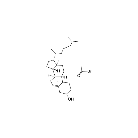 CC(=O)Br.CC(C)CCCC(C)[C@H]1CC[C@H]2[C@@H]3CC=C4C[C@@H](O)CC[C@]4(C)[C@H]3CC[C@]12C